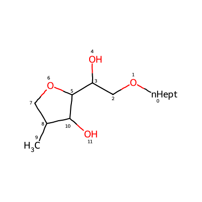 CCCCCCCOCC(O)C1OCC(C)C1O